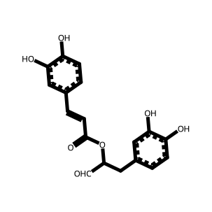 O=CC(Cc1ccc(O)c(O)c1)OC(=O)/C=C/c1ccc(O)c(O)c1